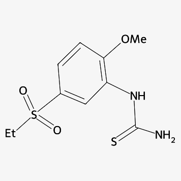 CCS(=O)(=O)c1ccc(OC)c(NC(N)=S)c1